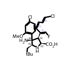 COc1cc(Cl)ccc1[C@@]1(N)[C@H](CC(C)(C)C)N[C@H](C(=O)O)[C@@H]1C(/C=C\C=C\Cl)=C\F